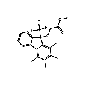 COC(=O)COC1(C(F)(F)F)c2ccccc2-c2c(C)c(C)c(C)c(C)c21